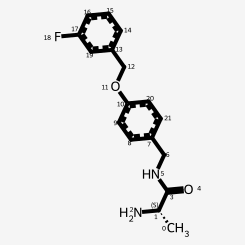 C[C@H](N)C(=O)NCc1ccc(OCc2cccc(F)c2)cc1